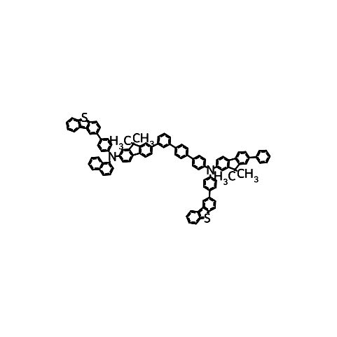 CC1(C)c2cc(-c3ccccc3)ccc2-c2ccc(N(c3ccc(-c4ccc(-c5cccc(-c6ccc7c(c6)C(C)(C)c6cc(N(c8ccc(-c9ccc%10sc%11ccccc%11c%10c9)cc8)c8cccc9ccccc89)ccc6-7)c5)cc4)cc3)c3ccc(-c4ccc5sc6ccccc6c5c4)cc3)cc21